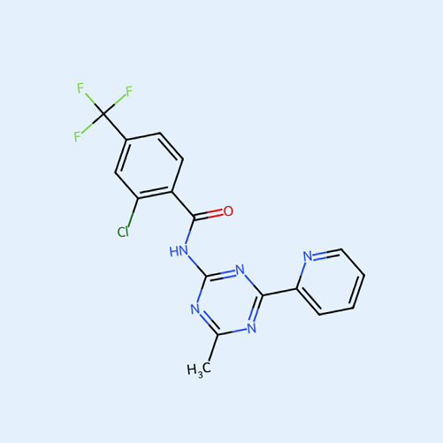 Cc1nc(NC(=O)c2ccc(C(F)(F)F)cc2Cl)nc(-c2ccccn2)n1